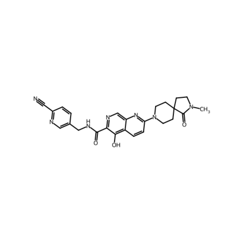 CN1CCC2(CCN(c3ccc4c(O)c(C(=O)NCc5ccc(C#N)nc5)ncc4n3)CC2)C1=O